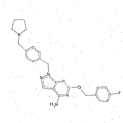 Nc1nc(OCc2ccc(F)cc2)nc2c1cnn2Cc1ccc(CN2CCCC2)cc1